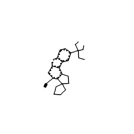 CCC(CC)(CC)c1ccc2[nH]c3cc(C#N)c4c(c3c2c1)CCC41CCCC1